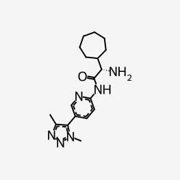 Cc1nnn(C)c1-c1ccc(NC(=O)[C@@H](N)C2CCCCCC2)nc1